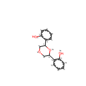 Oc1ccccc1C1COCC(c2ccccc2O)O1